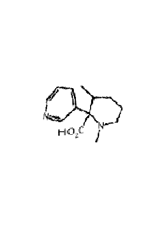 CC1CCCN(C)C1(C(=O)O)c1cccnc1